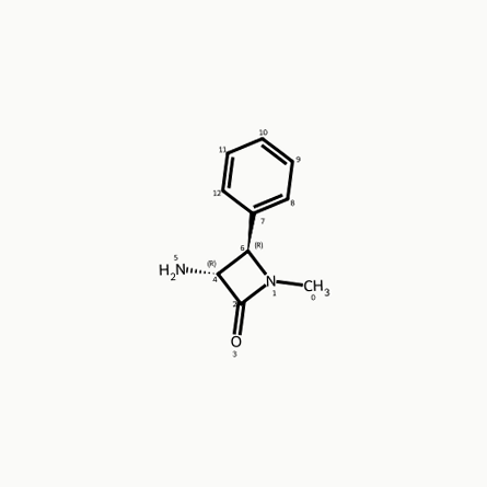 CN1C(=O)[C@H](N)[C@H]1c1ccccc1